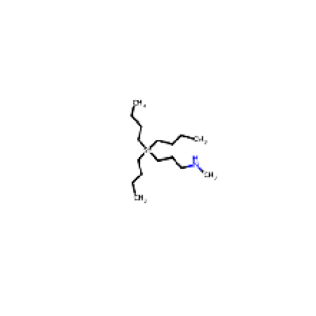 CCC[CH2][Sn]([CH2]CCC)([CH2]CCC)[CH2]CCNC